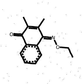 CCO/N=C1/C(C)=C(C)C(=O)c2ccccc21